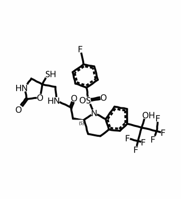 O=C(C[C@@H]1CCc2cc(C(O)(C(F)(F)F)C(F)(F)F)ccc2N1S(=O)(=O)c1ccc(F)cc1)NCC1(S)CNC(=O)O1